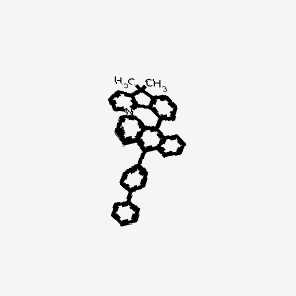 CC1(C)c2cccnc2-c2c(-c3c4ccccc4c(-c4ccc(-c5ccccc5)cc4)c4ccccc34)cccc21